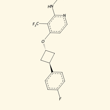 NNc1nccc(O[C@H]2C[C@H](c3ccc(F)cc3)C2)c1C(F)(F)F